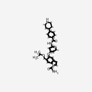 CC(C)OCc1cc2c(ccn2C(N)=O)cc1Oc1ccnc(NC(=O)c2ccc(C3CCNCC3)cc2)c1